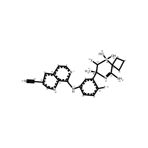 C[C@]1(c2cc(Nc3nccc4cc(C#N)cnc34)ccc2F)N=C(N)C2(CCC2)S(O)(O)C1F